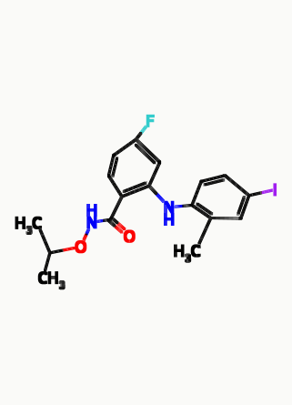 Cc1cc(I)ccc1Nc1cc(F)ccc1C(=O)NOC(C)C